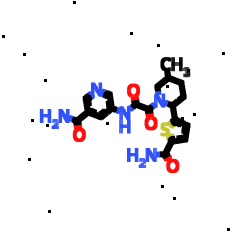 CC1CCC(c2ccc(C(N)=O)s2)N(C(=O)C(=O)Nc2cncc(C(N)=O)c2)C1